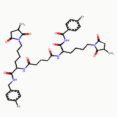 CCc1ccc(CNC(=O)C(CCCCN2C(=O)CC(C)C2=O)NC(=O)CCCC(=O)NC(CCCCN2C(=O)CC(C)C2=O)C(=O)NC(=O)c2ccc(CC)cc2)cc1